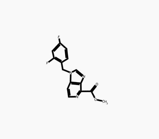 COC(=O)c1nccc2c1ncn2Cc1ccc(F)cc1F